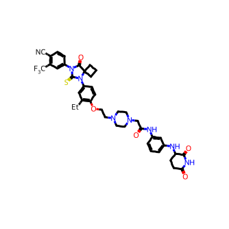 CCc1cc(N2C(=S)N(c3ccc(C#N)c(C(F)(F)F)c3)C(=O)C23CCC3)ccc1OCCN1CCN(CC(=O)Nc2cccc(NC3CCC(=O)NC3=O)c2)CC1